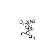 O=C(O)[C@H]1CCN(Cl)C[C@@H]1N1CCC[C@@H](Nc2cc(Cl)cc(C(F)(F)F)c2)C1=O